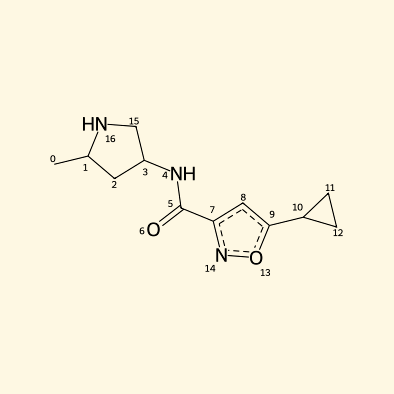 CC1CC(NC(=O)c2cc(C3CC3)on2)CN1